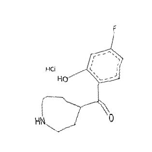 Cl.O=C(c1ccc(F)cc1O)C1CCNCC1